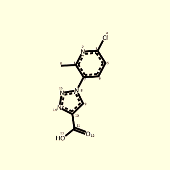 Cc1nc(Cl)ccc1-n1cc(C(=O)O)nn1